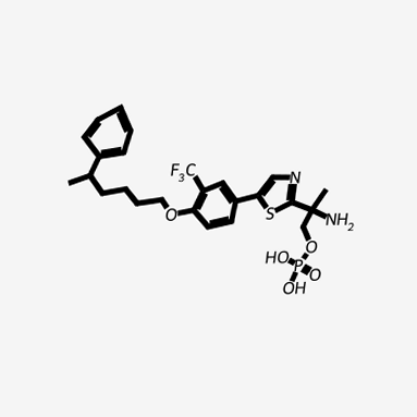 CC(CCCCOc1ccc(-c2cnc(C(C)(N)COP(=O)(O)O)s2)cc1C(F)(F)F)c1ccccc1